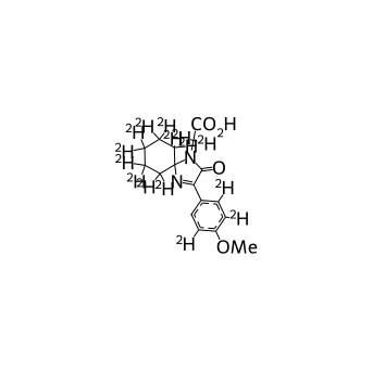 [2H]c1cc(C2=NC3(N(C([2H])([2H])C(=O)O)C2=O)C([2H])([2H])C([2H])([2H])C([2H])([2H])C([2H])([2H])C3([2H])[2H])c([2H])c([2H])c1OC